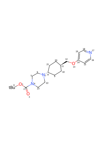 CC(C)(C)OC(=O)N1CCN([C@H]2CC[C@H](COc3ccncc3)CC2)CC1